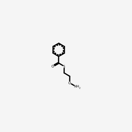 NOCCSC(=O)c1ccccc1